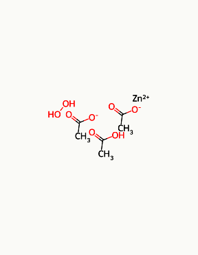 CC(=O)O.CC(=O)[O-].CC(=O)[O-].OO.[Zn+2]